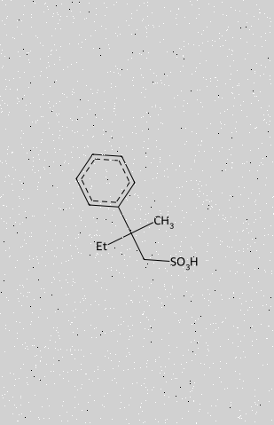 CCC(C)(CS(=O)(=O)O)c1ccccc1